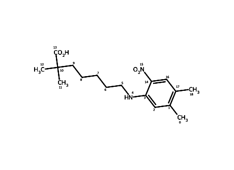 Cc1cc(NCCCCCC(C)(C)C(=O)O)c([N+](=O)[O-])cc1C